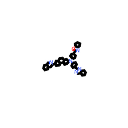 c1ccc2cc(-c3ccc4c(ccc5cc(N(c6ccc(-c7ncc8ccccc8n7)cc6)c6ccc(-c7nc8ccccc8o7)cc6)ccc54)c3)ncc2c1